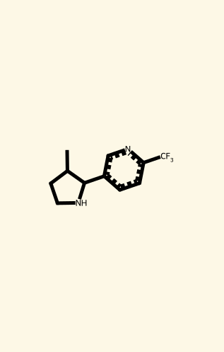 CC1CCNC1c1ccc(C(F)(F)F)nc1